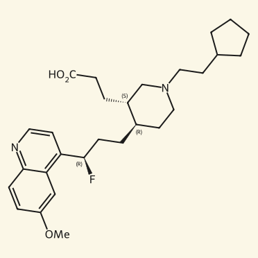 COc1ccc2nccc([C@H](F)CC[C@@H]3CCN(CCC4CCCC4)C[C@H]3CCC(=O)O)c2c1